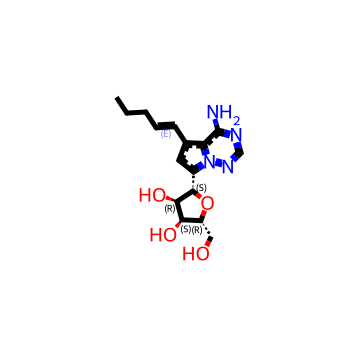 CCC/C=C/c1cc([C@@H]2O[C@H](CO)[C@@H](O)[C@H]2O)n2ncnc(N)c12